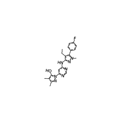 CCc1c(Nc2cc(-n3nc(C)c(C)c3O)ncn2)nn(C)c1-c1ccc(F)cc1